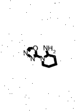 NC1CCCCN1c1nnco1